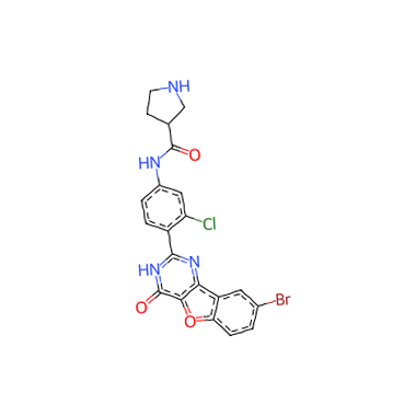 O=C(Nc1ccc(-c2nc3c(oc4ccc(Br)cc43)c(=O)[nH]2)c(Cl)c1)C1CCNC1